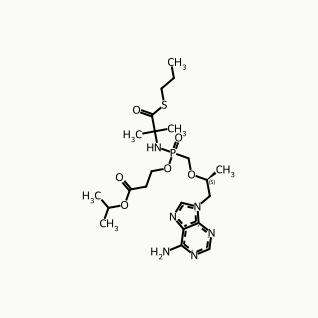 CCCSC(=O)C(C)(C)NP(=O)(CO[C@@H](C)Cn1cnc2c(N)ncnc21)OCCC(=O)OC(C)C